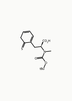 CN(C(=O)OC(C)(C)C)[C@@H](CC1=CC=CCC1=S)C(=O)O